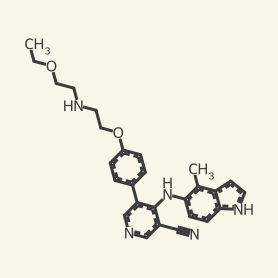 CCOCCNCCOc1ccc(-c2cncc(C#N)c2Nc2ccc3[nH]ccc3c2C)cc1